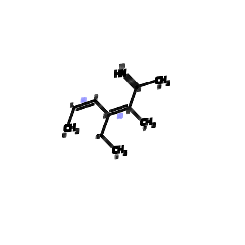 C/C=C\C(CC)=C(\C)C(C)=N